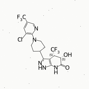 O=C1Nc2[nH]nc(C3CCN(c4ncc(C(F)(F)F)cc4Cl)CC3)c2[C@H](C(F)(F)F)[C@@H]1O